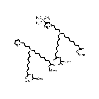 CCCCCCCCCOC(=O)CCCCCCCN(CCCCCCCC(=O)OC(CCCCCCCC)CCCCCCCC)CCCn1cc([Si](C)(C)C)nn1.CCCCCCCCCOC(=O)CCCCCCCN(CCCCCCCC(=O)OC(CCCCCCCC)CCCCCCCC)CCCn1ccnn1